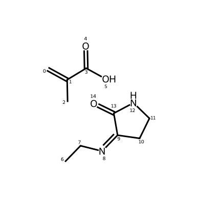 C=C(C)C(=O)O.CCN=C1CCNC1=O